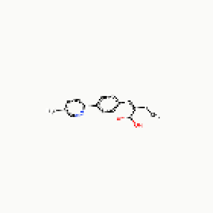 CCC(=Cc1ccc(-c2ccc(C)cn2)cc1)C(=O)O